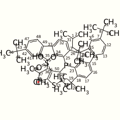 CC(C)CC1c2cc(C(C)(C)C)ccc2-c2ccc(C(C)(C)C)c(P(c3c(C(C)(C)C)ccc4c3C(CC(C)C)c3cc(C(C)(C)C)ccc3-4)c3c(Cl)sc(Cl)c3S(=O)(=O)O)c21